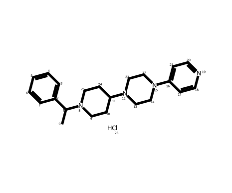 CC(c1ccccc1)N1CCC(N2CCN(c3ccncc3)CC2)CC1.Cl